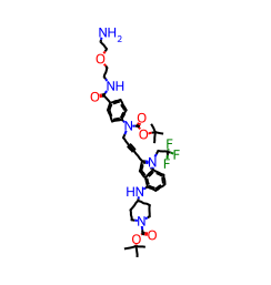 CC(C)(C)OC(=O)N1CCC(Nc2cccc3c2cc(C#CCN(C(=O)OC(C)(C)C)c2ccc(C(=O)NCCOCCN)cc2)n3CC(F)(F)F)CC1